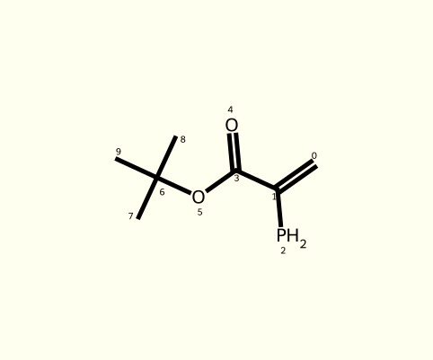 C=C(P)C(=O)OC(C)(C)C